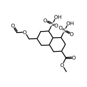 COC(=O)C1CC2CC(COC=O)CC(S(=O)(=O)O)C2C(S(=O)(=O)O)C1